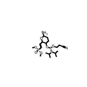 BC1CCC(OP(OCCC#N)N(C(C)C)C(C)C)C(/C=C/P(=O)(OC)OC)O1